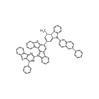 CC1C=C(c2cc3c4ccccc4n(-c4nc(-c5ccccc5)c5sc6ccccc6c5n4)c3c3c2sc2ccccc23)C=C2C1c1ccccc1N2c1ccc2cc(-c3ccccc3)ccc2c1